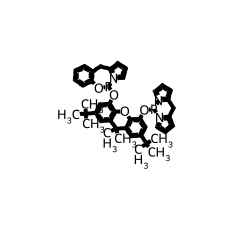 CC(C)(C)c1cc(OP2Oc3ccccc3Cc3cccn32)c2c(c1)C(C)(C)c1cc(C(C)(C)C)cc(OP3n4cccc4Cc4cccn43)c1O2